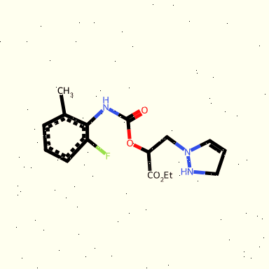 CCOC(=O)C(CN1C=CCN1)OC(=O)Nc1c(C)cccc1F